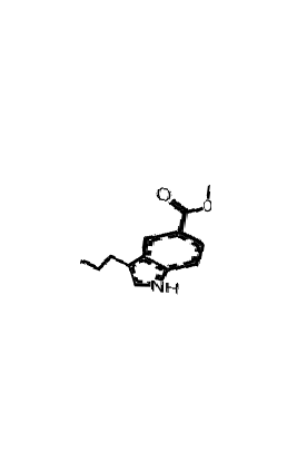 CCCc1c[nH]c2ccc(C(=O)OC)cc12